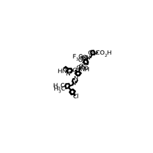 CC1(C)CCC(CN2CCN(c3ccc(C(=O)NS(=O)(=O)c4ccc(NCC5CN(C(=O)O)CCO5)c(S(=O)(=O)C(F)(F)F)c4)c(Oc4cnc5[nH]ccc5c4)c3)CC2)=C(c2ccc(Cl)cc2)C1